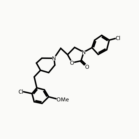 COc1ccc(Cl)c(CC2CCN(CC3CN(c4ccc(Cl)cc4)C(=O)O3)CC2)c1